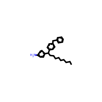 CCCCCCCCCC(c1ccc(N)cc1)c1ccc(Cc2ccccc2)cc1